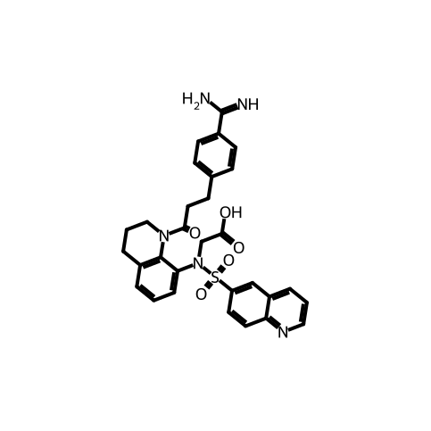 N=C(N)c1ccc(CCC(=O)N2CCCc3cccc(N(CC(=O)O)S(=O)(=O)c4ccc5ncccc5c4)c32)cc1